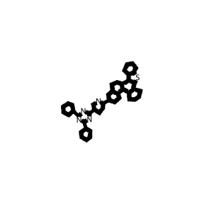 c1ccc(-c2nc(-c3ccccc3)nc(-c3ccc(-c4ccc5c(ccc6c5c5ccccc5c5sc7ccccc7c65)c4)nc3)n2)cc1